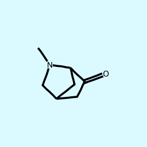 CN1CC2CC(=O)C1C2